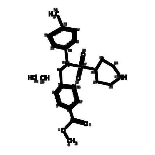 COC(=O)c1ccc(CN(c2ccc(C)cc2)S(=O)(=O)C2CCNCC2)nc1.Cl.Cl